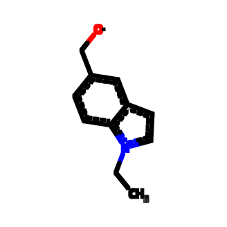 CCn1ccc2cc(C[O])ccc21